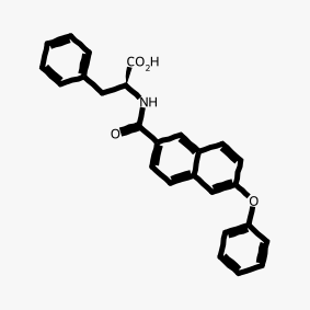 O=C(N[C@@H](Cc1ccccc1)C(=O)O)c1ccc2cc(Oc3ccccc3)ccc2c1